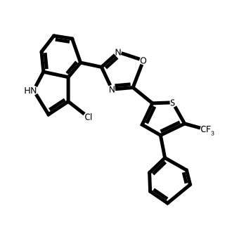 FC(F)(F)c1sc(-c2nc(-c3cccc4[nH]cc(Cl)c34)no2)cc1-c1ccccc1